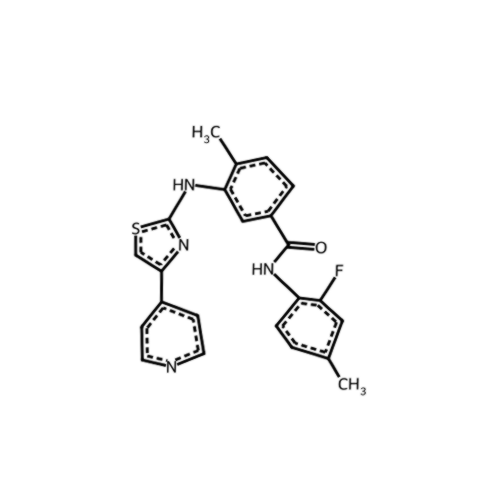 Cc1ccc(NC(=O)c2ccc(C)c(Nc3nc(-c4ccncc4)cs3)c2)c(F)c1